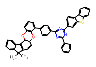 CC1(C)C2=C(c3ccccc31)C1Oc3cccc(-c4ccc(-c5nc(-c6ccccc6)nc(-c6ccc7c(c6)sc6ccccc67)n5)cc4)c3OC1C=C2